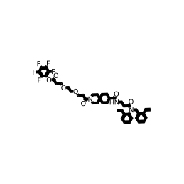 C=Cc1ccccc1CN(C(=O)CCNC(=O)C1CCC2(CC1)CCN(C(=O)CCOCCOCCC(=O)Oc1c(F)c(F)c(F)c(F)c1F)CC2)c1ccccc1CC